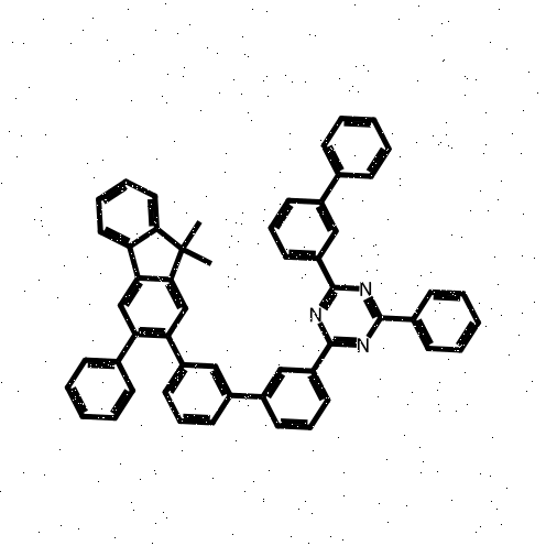 CC1(C)c2ccccc2-c2cc(-c3ccccc3)c(-c3cccc(-c4cccc(-c5nc(-c6ccccc6)nc(-c6cccc(-c7ccccc7)c6)n5)c4)c3)cc21